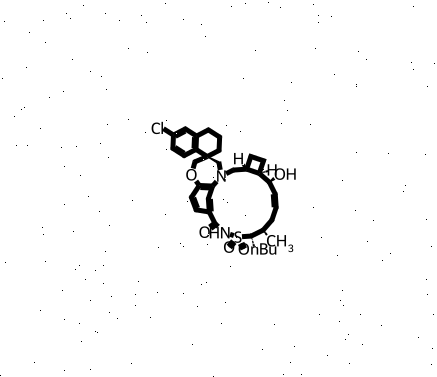 CCCC[C@H]1[C@@H](C)C/C=C\[C@H](O)[C@@H]2CC[C@H]2CN2C[C@@]3(CCCc4cc(Cl)ccc43)COc3ccc(cc32)C(=O)NS1(=O)=O